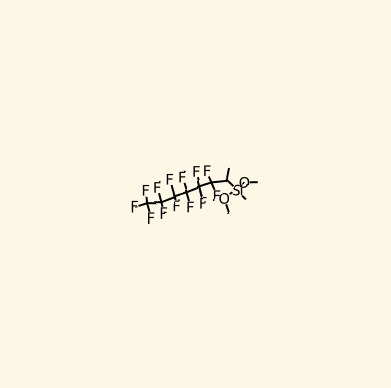 CO[Si](C)(OC)C(C)C(F)(F)C(F)(F)C(F)(F)C(F)(F)C(F)(F)C(F)(F)F